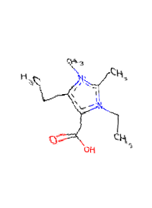 CCc1c(C(=O)O)n(CC)c(C)[n+]1C